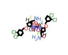 N#C[C@]1(N)[C@H](OCc2ccc(Cl)c(Cl)c2)C[C@@H]2[C@]1(OC(=O)C(=O)O[C@]13[C@@H](C[C@@H](OCc4ccc(Cl)c(Cl)c4)[C@@]1(N)C#N)[C@]3(F)C(N)=O)[C@@]2(F)C(N)=O